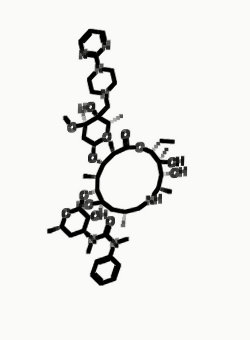 CC[C@H]1OC(=O)[C@H](C)[C@@H](O[C@H]2C[C@@](C)(OC)[C@](O)(CN3CCN(c4ncccn4)CC3)[C@H](C)O2)[C@H](C)[C@@H](O[C@@H]2O[C@H](C)C[C@H](N(C)C(=O)N(C)c3ccccc3)[C@H]2O)[C@](C)(O)C[C@@H](C)CN[C@H](C)[C@@H](O)[C@]1(C)O